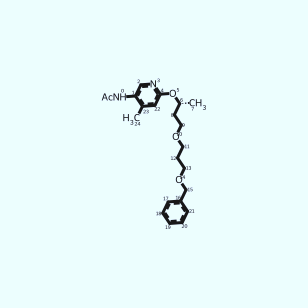 CC(=O)Nc1cnc(O[C@H](C)CCOCCCOCc2ccccc2)cc1C